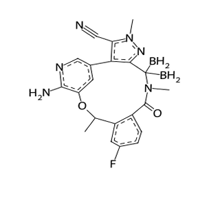 BC1(B)c2nn(C)c(C#N)c2-c2cnc(N)c(c2)OC(C)c2cc(F)ccc2C(=O)N1C